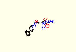 O=C1NC(=O)[C@H](CCC(=O)N2CCC(c3ccccc3)CC2)N1